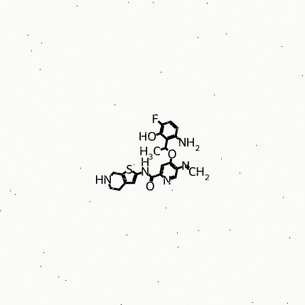 C=Nc1cnc(C(=O)Nc2cc3c(s2)CNCC3)cc1OC(C)c1c(N)ccc(F)c1O